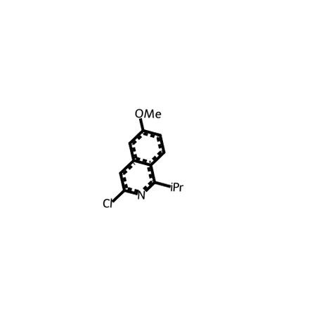 COc1ccc2c(C(C)C)nc(Cl)cc2c1